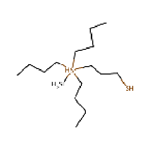 CCCC[SH]([SiH3])(CCCC)(CCCC)CCCS